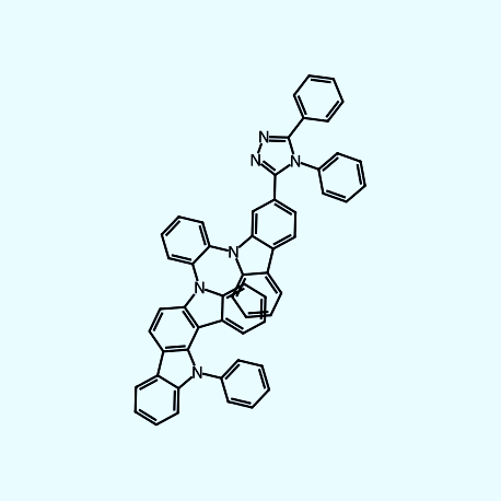 c1ccc(-c2nnc(-c3ccc4c5ccccc5n(-c5ccccc5-n5c6ccccc6c6c5ccc5c7ccccc7n(-c7ccccc7)c56)c4c3)n2-c2ccccc2)cc1